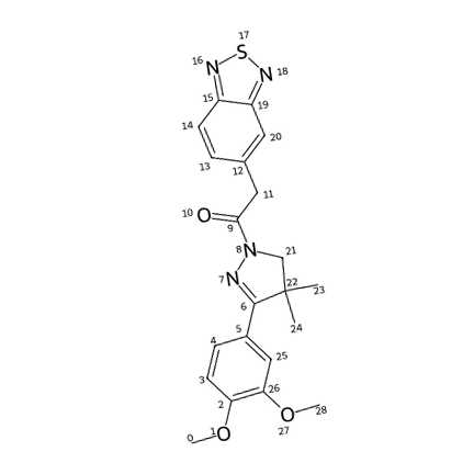 COc1ccc(C2=NN(C(=O)Cc3ccc4nsnc4c3)CC2(C)C)cc1OC